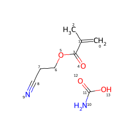 C=C(C)C(=O)OCCC#N.NC(=O)O